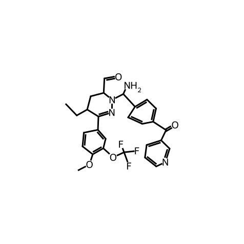 CCC1CC(C=O)N(C(N)c2ccc(C(=O)c3cccnc3)cc2)N=C1c1ccc(OC)c(OC(F)(F)F)c1